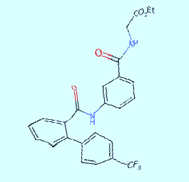 CCOC(=O)CNC(=O)c1cccc(NC(=O)c2ccccc2-c2ccc(C(F)(F)F)cc2)c1